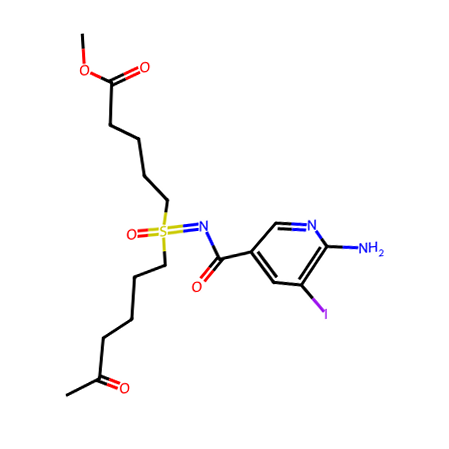 COC(=O)CCCCS(=O)(CCCCC(C)=O)=NC(=O)c1cnc(N)c(I)c1